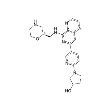 OC1CCN(c2ccc(-c3cc4nccnc4c(NC[C@@H]4CNCCO4)n3)cn2)C1